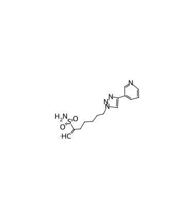 [CH]=C(CCCCCn1cc(-c2cccnc2)nn1)S(N)(=O)=O